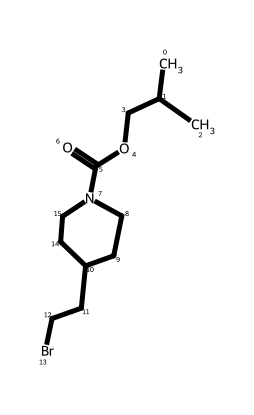 CC(C)COC(=O)N1CCC(CCBr)CC1